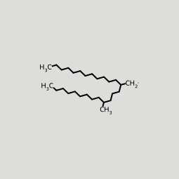 [CH2]C(CCCCCCCCCCCC)CCCC(C)CCCCCCCCC